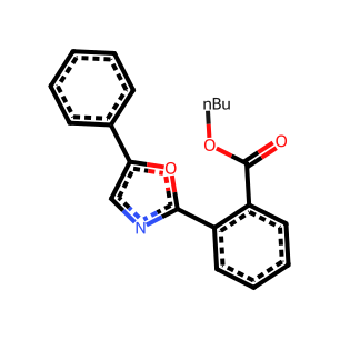 CCCCOC(=O)c1ccccc1-c1ncc(-c2ccccc2)o1